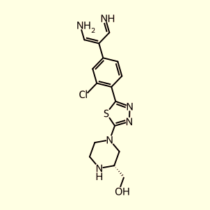 N=C/C(=C\N)c1ccc(-c2nnc(N3CCN[C@@H](CO)C3)s2)c(Cl)c1